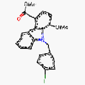 COC(=O)c1ccc(OC)c2c1c1ccccc1n2Cc1ccc(F)cc1